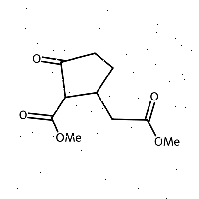 COC(=O)CC1CCC(=O)C1C(=O)OC